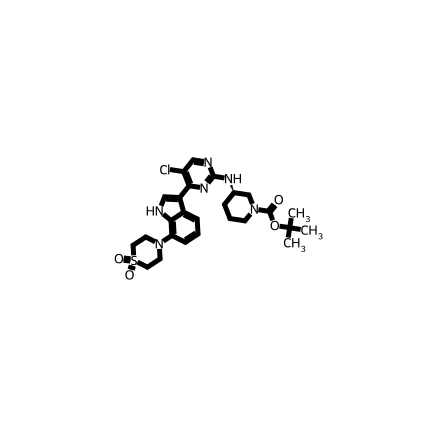 CC(C)(C)OC(=O)N1CCC[C@H](Nc2ncc(Cl)c(-c3c[nH]c4c(N5CCS(=O)(=O)CC5)cccc34)n2)C1